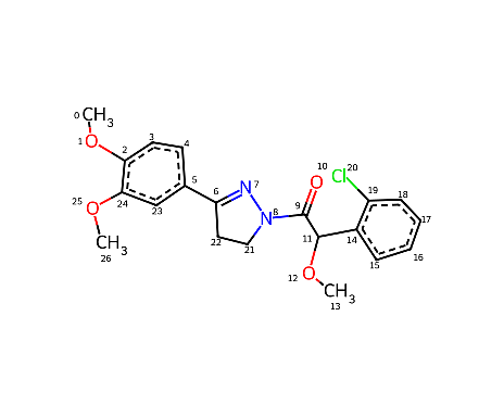 COc1ccc(C2=NN(C(=O)C(OC)c3ccccc3Cl)CC2)cc1OC